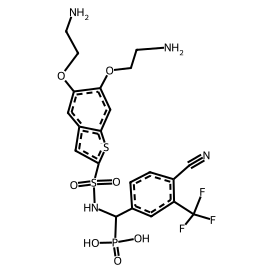 N#Cc1ccc(C(NS(=O)(=O)c2cc3cc(OCCN)c(OCCN)cc3s2)P(=O)(O)O)cc1C(F)(F)F